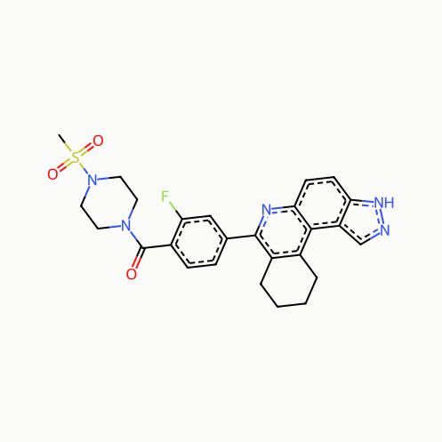 CS(=O)(=O)N1CCN(C(=O)c2ccc(-c3nc4ccc5[nH]ncc5c4c4c3CCCC4)cc2F)CC1